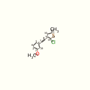 COc1cccc(C#Cc2cc(C)sc2Cl)c1